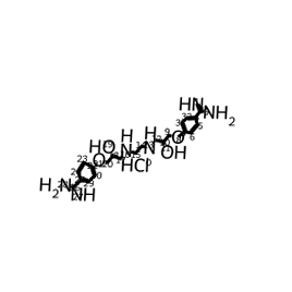 Cl.N=C(N)c1ccc(OCC(O)CNCCNCC(O)COc2ccc(C(=N)N)cc2)cc1